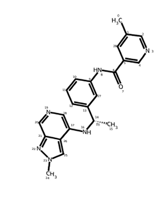 Cc1cncc(C(=O)Nc2cccc([C@H](C)Nc3cncc4nn(C)cc34)c2)c1